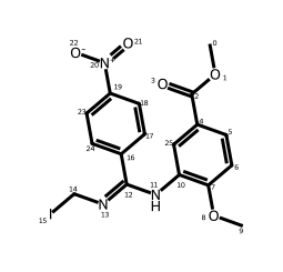 COC(=O)c1ccc(OC)c(N/C(=N/CI)c2ccc([N+](=O)[O-])cc2)c1